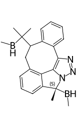 CBC(C)(C)C1Cc2cccc3c2-c2c(nnn2[C@]3(C)BC)-c2ccccc21